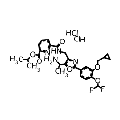 CC(C)OC(=O)c1cccc(C(=O)NCc2nc(-c3ccc(OC(F)F)c(OCC4CC4)c3)oc2C(C)N)n1.Cl.Cl